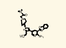 CN(C)C(=O)CN1CCC(n2cc(-c3cnc(N)c(-c4nc5ccccc5o4)c3)c(CO)n2)CC1